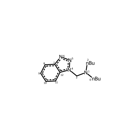 CCCCN(CCCC)Cn1nnc2ccccc21